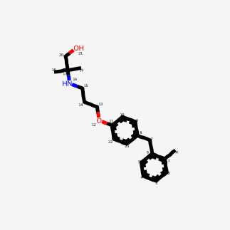 Cc1ccccc1Cc1ccc(OCCCNC(C)(C)CO)cc1